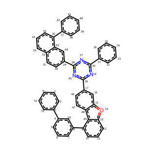 c1ccc(-c2cccc(-c3cccc4oc5cc(-c6nc(-c7ccccc7)nc(-c7ccc8cccc(-c9ccccc9)c8c7)n6)ccc5c34)c2)cc1